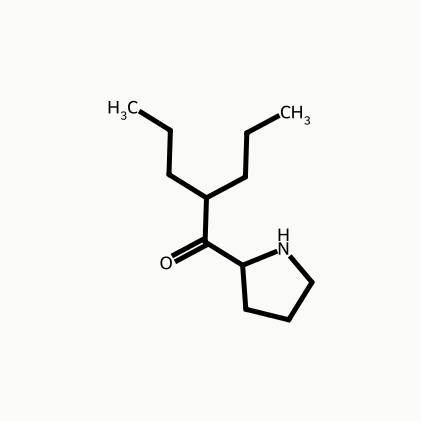 CCCC(CCC)C(=O)C1CCCN1